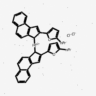 CCCc1ccc(C2=Cc3c(ccc4ccccc34)[CH]2[Hf+2][CH]2C(c3ccc(CCC)o3)=Cc3c2ccc2ccccc32)o1.[Cl-].[Cl-]